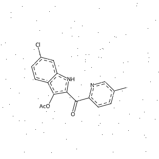 CC(=O)Oc1c(C(=O)c2ccc(C)cn2)[nH]c2cc(Cl)ccc12